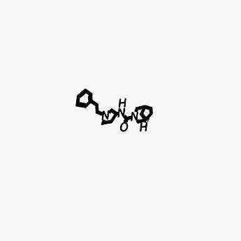 O=C(NC1CCN(CCc2ccccc2)C1)N1CC2CC[C@@H](C2)C1